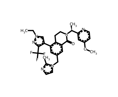 CCn1cc(-c2cc(Cn3ccnc3C)cc3c2CCN([C@@H](C)c2cc(OC)ccn2)C3=O)c(C(F)(F)F)n1